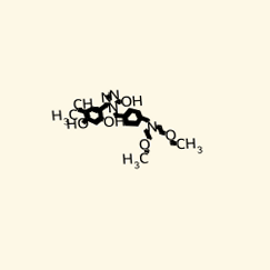 CCOCCN(CCOCC)Cc1ccc(Cn2c(O)nnc2-c2cc(C(C)C)c(O)cc2O)cc1